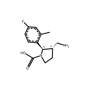 Cc1cc(F)ccc1[C@H]1[C@H](CN)CCN1C(=O)O